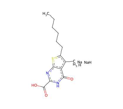 CCCCCCc1sc2nc(C(=O)O)[nH]c(=O)c2c1C.[NaH].[NaH]